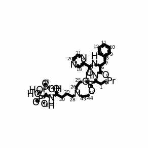 CC(C)CC(NC(=O)C(Cc1ccccc1)NC(=O)c1cnccn1)B1OCCN(CCCC(=O)NC(P(=O)(O)O)P(=O)(O)O)CCO1